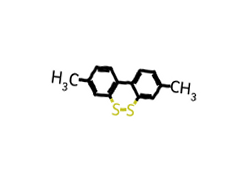 Cc1ccc2c(c1)SSc1cc(C)ccc1-2